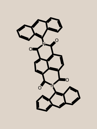 O=C1c2ccc3c4c(ccc(c24)C(=O)N1c1c2ccccc2cc2ccccc12)C(=O)N(c1c2ccccc2cc2ccccc12)C3=O